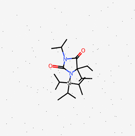 CCC1(C(C)C)C(=O)N(C(C)C)C(=O)N1[Si](C(C)C)(C(C)C)C(C)C